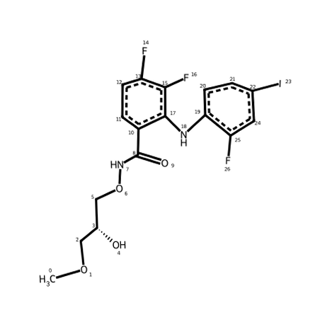 COC[C@@H](O)CONC(=O)c1ccc(F)c(F)c1Nc1ccc(I)cc1F